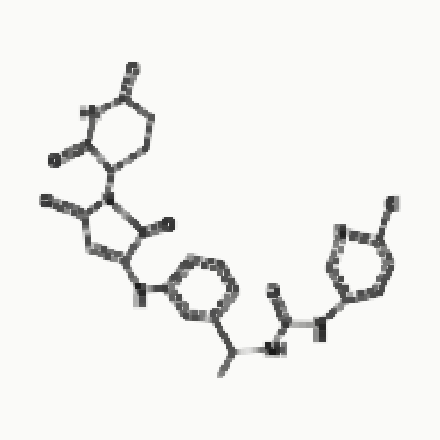 CC(NC(=O)Nc1ccc(Cl)nc1)c1cccc(NC2=CC(=O)N(C3CCC(=O)NC3=O)C2=O)c1